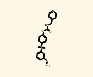 O=C(NCc1ccncc1)Nc1ccc(S(=O)(=O)c2cccc(OC(F)(F)F)c2)cc1